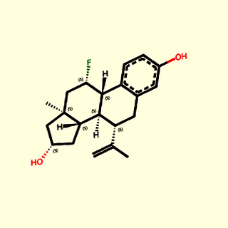 C=C(C)[C@H]1Cc2cc(O)ccc2[C@@H]2[C@@H]1[C@@H]1C[C@H](O)C[C@@]1(C)C[C@@H]2F